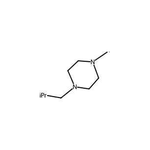 [CH2]N1CCN(CC(C)C)CC1